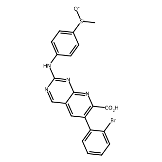 C[S+]([O-])c1ccc(Nc2ncc3cc(-c4ccccc4Br)c(C(=O)O)nc3n2)cc1